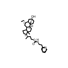 CC[C@H]1CC2C3CC[C@H](C(C)CCOC(=O)NCCc4ccccn4)C3(C)CC[C@@H]2C2(C)CC[C@@H](O)CC12